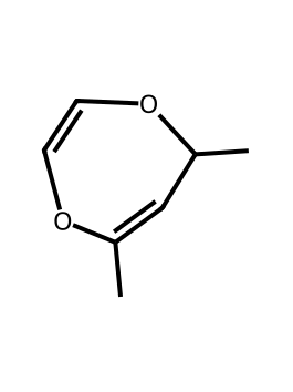 CC1=CC(C)OC=CO1